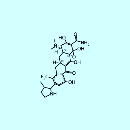 CC1CCNC1c1cc(O)c2c(c1C(F)(F)F)C[C@H]1C[C@H]3[C@H](N(C)C)C(O)=C(C(N)=O)C4(O)O[C@]34C(O)=C1C2=O